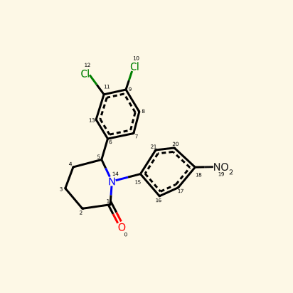 O=C1CCCC(c2ccc(Cl)c(Cl)c2)N1c1ccc([N+](=O)[O-])cc1